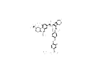 COC(=O)c1ccc(CCc2ccc(NC(=O)c3c(NC(=O)c4cccc(CN(C(C)C)[C@H]5CC[C@H](C(=O)OC)CC5)c4)sc4c3CCCC4)cc2)c(F)c1